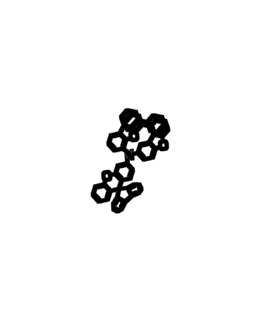 c1ccc(-c2cccc3c2oc2c(N(c4ccc5c(c4)Oc4ccccc4C54c5ccccc5-c5ccccc54)c4ccc5oc6cccc(-c7ccccc7)c6c5c4)cccc23)cc1